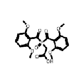 COc1cccc(OC)c1C(=O)P(=O)(CC(=O)O)C(=O)c1c(OC)cccc1OC